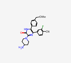 COCc1ccc(-c2[nH]c(=O)c(N3CCC(N)CC3)nc2-c2ccc(C#N)c(F)c2)cc1